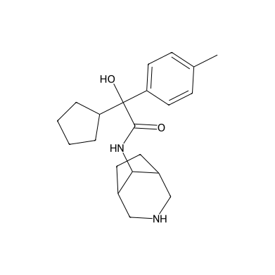 Cc1ccc(C(O)(C(=O)NC2C3CCC2CNC3)C2CCCC2)cc1